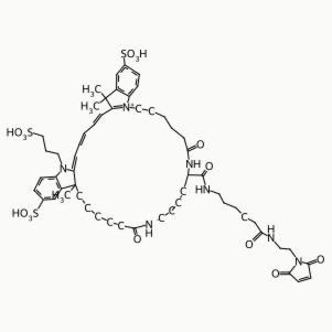 CC1(C)C2=[N+](CCCCCC(=O)NC(C(=O)NCCCCCC(=O)NCCN3C(=O)C=CC3=O)CCCCNC(=O)CCCCCC3(C)/C(=C/C=C/C=C/2)N(CCCS(=O)(=O)O)c2ccc(S(=O)(=O)O)cc23)c2ccc(S(=O)(=O)O)cc21